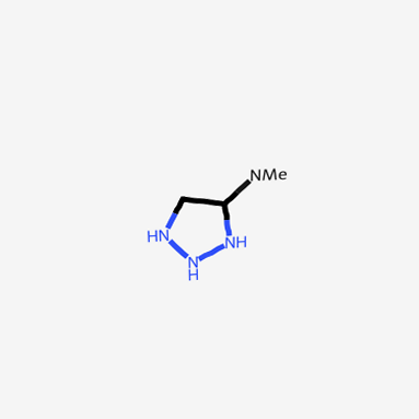 CNC1CNNN1